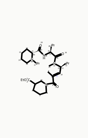 CCOC(=O)C1CCCN(C(=O)/C(C)=C/[C@H](C(C)C)N(C)C(=O)[C@@H](NC(=O)[C@H]2CCCCN2C(C)C)C(C)C)C1